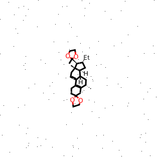 CC[C@@H]1C[C@H]2[C@@H]3C[C@H](C)C4=C(CCC5(C4)OCCO5)C3=CC[C@]2(C)[C@H]1C1(C)OCCO1